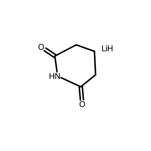 O=C1CCCC(=O)N1.[LiH]